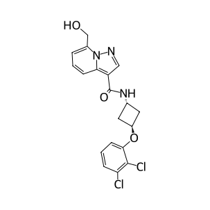 O=C(N[C@H]1C[C@H](Oc2cccc(Cl)c2Cl)C1)c1cnn2c(CO)cccc12